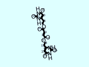 O=C(/C=C/C(=O)OCCc1cc(=O)[nH]c(=O)[nH]1)OCCc1cc(=O)[nH]c(=O)[nH]1